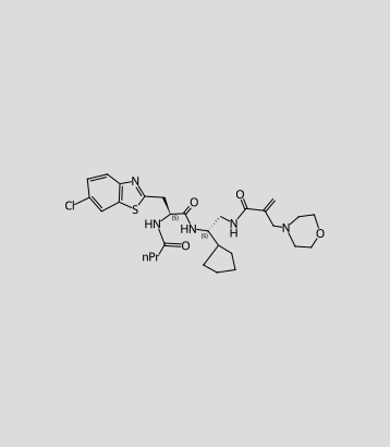 C=C(CN1CCOCC1)C(=O)NC[C@@H](NC(=O)[C@H](Cc1nc2ccc(Cl)cc2s1)NC(=O)CCC)C1CCCC1